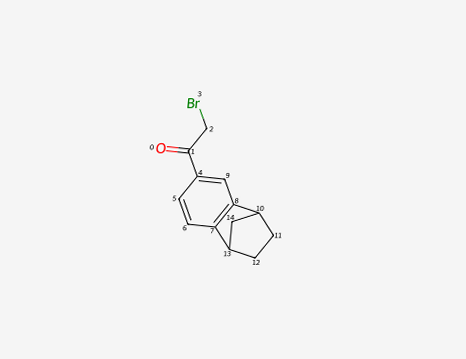 O=C(CBr)c1ccc2c(c1)C1CCC2C1